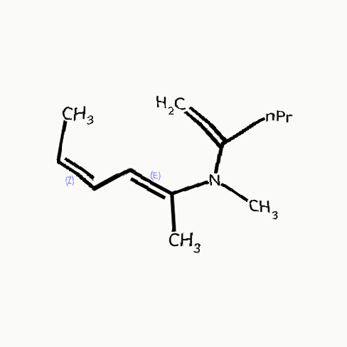 C=C(CCC)N(C)/C(C)=C/C=C\C